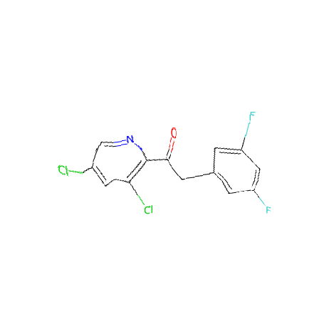 O=C(Cc1cc(F)cc(F)c1)c1ncc(Cl)cc1Cl